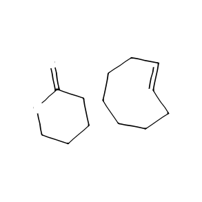 C1=C/CCCCCC/1.O=C1CCCCO1